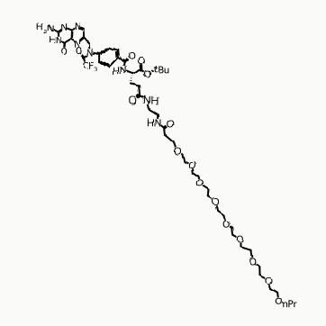 CCCOCCOCCOCCOCCOCCOCCOCCOCCOCCC(=O)NCCNC(=O)CC[C@H](NC(=O)c1ccc(N(Cc2cnc3nc(N)[nH]c(=O)c3n2)C(=O)C(F)(F)F)cc1)C(=O)OC(C)(C)C